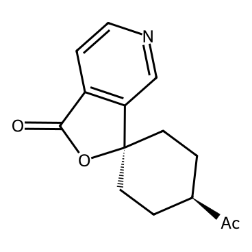 CC(=O)[C@H]1CC[C@]2(CC1)OC(=O)c1ccncc12